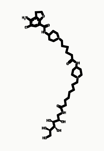 Nc1c(Cl)cc(C(=O)NC2CCN(CCCCCC(=O)NC3CCN(CCCCCCCC(=O)NC[C@H](O)[C@@H](O)[C@H](O)[C@H](O)CO)CC3)CC2)c2c1CCO2